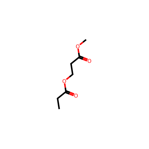 CCC(=O)OCCC(=O)OC